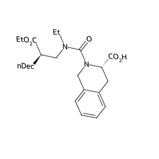 CCCCCCCCCC[C@H](CN(CC)C(=O)N1Cc2ccccc2C[C@H]1C(=O)O)C(=O)OCC